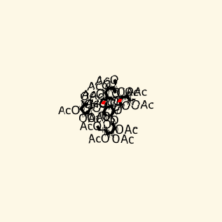 CC(=O)OC[C@H]1O[C@@H](OC[C@H]2O[C@H](O[C@@H]3O[C@H](COC(C)=O)[C@H](OC(C)=O)[C@H](OC(C)=O)[C@H]3OC(C)=O)[C@H](O[C@@H]3O[C@H](COC(C)=O)[C@H](OC(C)=O)[C@H](OC(C)=O)[C@H]3OC(C)=O)[C@@H](O[C@@H]3O[C@H](COC(C)=O)[C@H](OC(C)=O)[C@H](OC(C)=O)[C@H]3OC(C)=O)[C@H]2O)[C@H](OC(C)=O)[C@@H](OC(C)=O)[C@H]1OC(C)=O